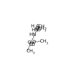 CCCCCCOC(=O)C(CCCCCCNCCCNC(=O)OC(C)(C)C)C(=O)OCCCCCC